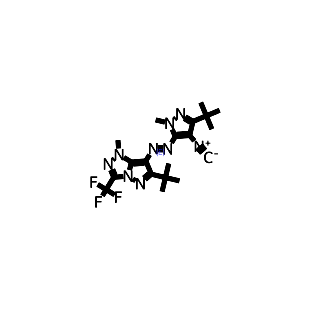 [C-]#[N+]c1c(C(C)(C)C)nn(C)c1/N=N/c1c(C(C)(C)C)nn2c(C(F)(F)F)nn(C)c12